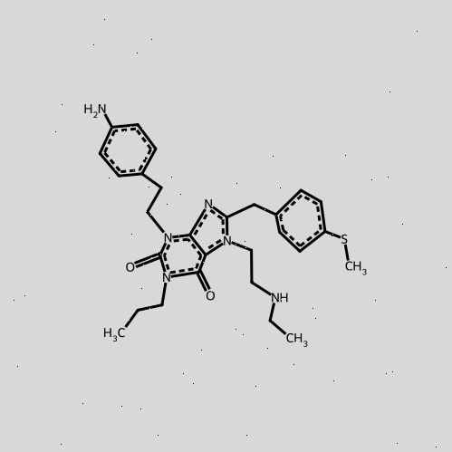 CCCn1c(=O)c2c(nc(Cc3ccc(SC)cc3)n2CCNCC)n(CCc2ccc(N)cc2)c1=O